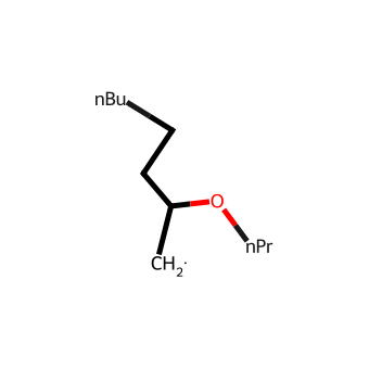 [CH2]C(CCCCCC)OCCC